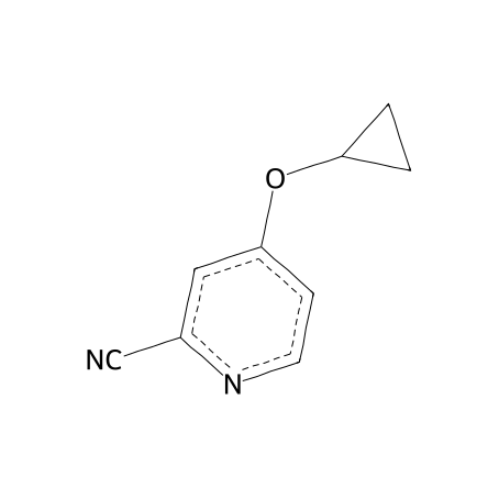 N#Cc1cc(OC2CC2)ccn1